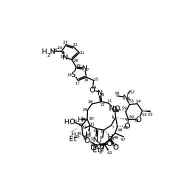 CCC(=O)/N=C1\[C@H](C)C[C@@]2(C)OC/C(=N/OCc3csc(-c4cccc(N)n4)n3)CC[C@H]([C@H]1C)[C@](C)(O)[C@@H](CC)OC(=O)[C@@](C)(F)C(=O)C(C)[C@H]2O[C@@H]1O[C@H](C)C[C@H](N(C)C)[C@H]1O